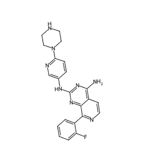 Nc1nc(Nc2ccc(N3CCNCC3)nc2)nc2c(-c3ccccc3F)nccc12